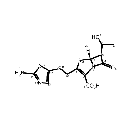 CC(O)[C@H]1C(=O)N2C(C(=O)O)=C(CSc3cnc(N)s3)S[C@H]12